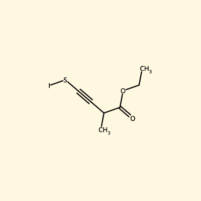 CCOC(=O)C(C)C#CSI